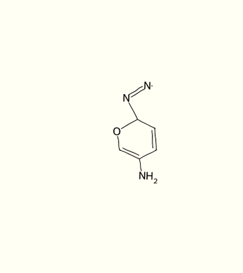 [N]=NC1C=CC(N)=CO1